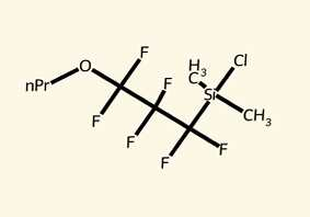 CCCOC(F)(F)C(F)(F)C(F)(F)[Si](C)(C)Cl